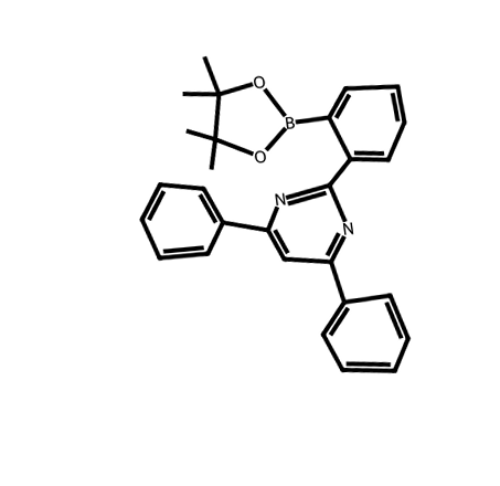 CC1(C)OB(c2ccccc2-c2nc(-c3ccccc3)cc(-c3ccccc3)n2)OC1(C)C